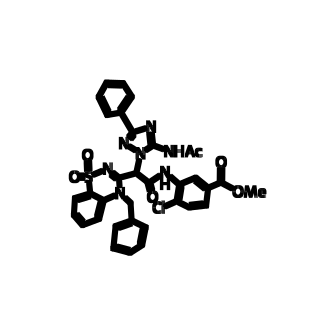 COC(=O)c1ccc(Cl)c(NC(=O)C(C2=NS(=O)(=O)c3ccccc3N2Cc2ccccc2)n2nc(-c3ccccc3)nc2NC(C)=O)c1